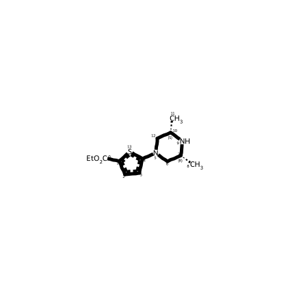 CCOC(=O)c1ccc(N2C[C@@H](C)N[C@@H](C)C2)s1